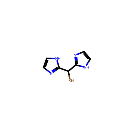 SC(c1ncc[nH]1)c1ncc[nH]1